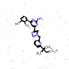 Cc1c(C#N)cccc1-c1cc(-c2cn(Cc3cccc(C(C)(C)CC(=O)O)n3)nn2)nc(N)n1